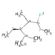 CCC(F)C(C)[C@H](CC)C(C)C